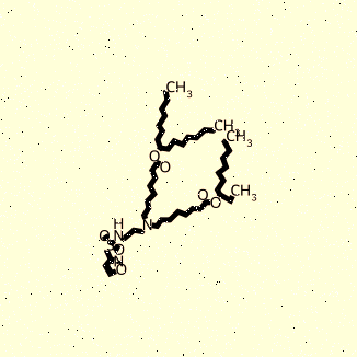 CCCCCCCCC(CC)OC(=O)CCCCCCCN(CCCCCCCC(=O)OC(CCCCCCCC)CCCCCCCC)CCCNS(=O)(=O)Cc1ccon1